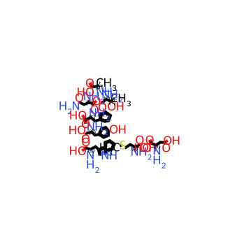 CSCC[C@H](N)C(=O)O.C[C@@H](O)[C@H](N)C(=O)OC(=O)[C@@H](N)CC(N)=O.C[C@H](N)C(=O)O.N[C@@H](CC(=O)O)C(=O)O.N[C@@H](Cc1c[nH]c2ccccc12)C(=O)O.N[C@@H](Cc1ccc(O)cc1)C(=O)O.N[C@@H](Cc1ccccc1)C(=O)O